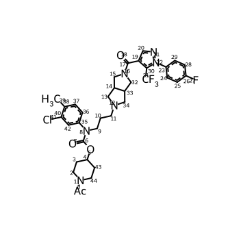 CC(=O)N1CCC(OC(=O)N(CCCN2CC3CN(C(=O)c4cnn(-c5ccc(F)cc5)c4C(F)(F)F)CC3C2)c2ccc(C)c(Cl)c2)CC1